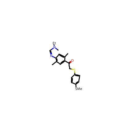 CCN(C)/C=N\c1cc(C)c(C(=O)CSc2ccc(SC)cc2)cc1C